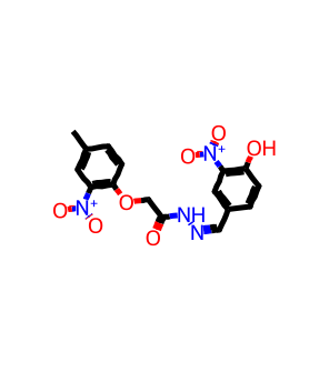 Cc1ccc(OCC(=O)N/N=C\c2ccc(O)c([N+](=O)[O-])c2)c([N+](=O)[O-])c1